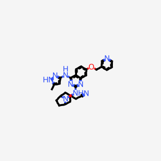 Cc1cc(Nc2nc(NC3CC4CCC(C3)N4CCC#N)nc3cc(OCc4cccnc4)ccc23)n[nH]1